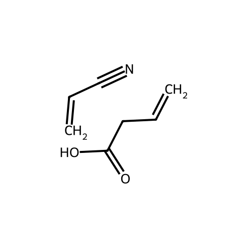 C=CC#N.C=CCC(=O)O